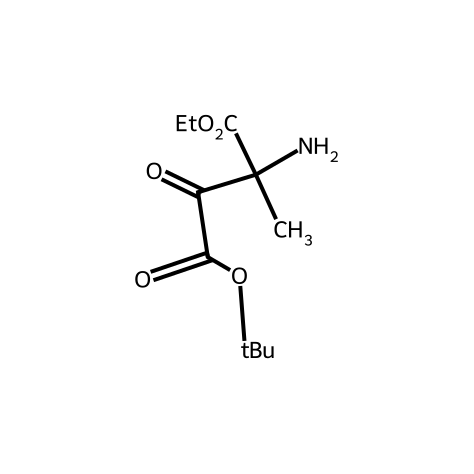 CCOC(=O)C(C)(N)C(=O)C(=O)OC(C)(C)C